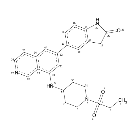 CCS(=O)(=O)N1CCC(Nc2cc(-c3ccc4c(c3)CC(=O)N4)cc3ccncc23)CC1